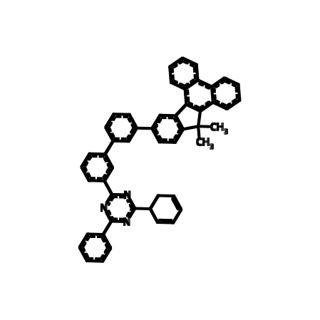 CC1(C)c2ccc(-c3cccc(-c4cccc(-c5nc(-c6ccccc6)nc(C6C=CC=CC6)n5)c4)c3)cc2-c2c1c1ccccc1c1ccccc21